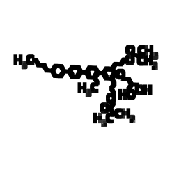 C=C(C)C(=O)COCCCc1cc(-c2ccc(-c3ccc(C4CCC(CCCCC)CC4)cc3)cc2CC)cc(CCCOC(=O)C(=C)C)c1OCCC(CO)CO